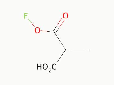 CC(C(=O)O)C(=O)OF